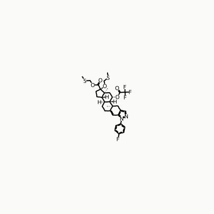 CSCOC(=O)[C@@]1(OCSC)CC[C@H]2[C@@H]3CCC4=Cc5c(cnn5-c5ccc(F)cc5)C[C@]4(C)[C@H]3[C@@H](OC(=O)C(F)(F)F)C[C@@]21C